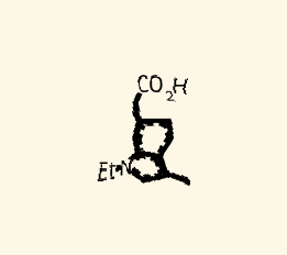 CCn1cc(C)c2ccc(CC(=O)O)cc21